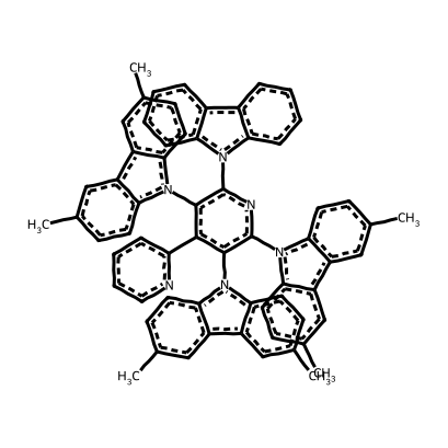 Cc1ccc2c(c1)c1cc(C)ccc1n2-c1nc(-n2c3ccccc3c3ccccc32)c(-n2c3ccc(C)cc3c3cc(C)ccc32)c(-c2ccccn2)c1-n1c2ccc(C)cc2c2cc(C)ccc21